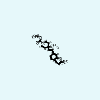 CCc1ccc2ccc(/C=C/C3(C)CCN(C(=O)OC(C)(C)C)CC3)cc2n1